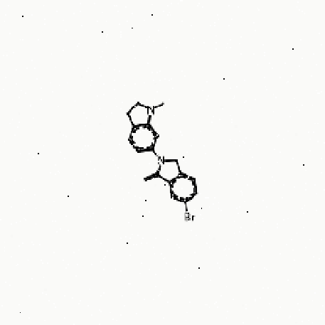 C=C1c2cc(Br)ccc2CN1c1ccc2c(c1)N(C)CC2